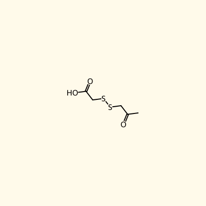 CC(=O)CSSCC(=O)O